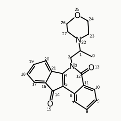 CC(Cn1c2c(c3ccccc3c1=O)C(=O)c1ccccc1-2)N1CCOCC1